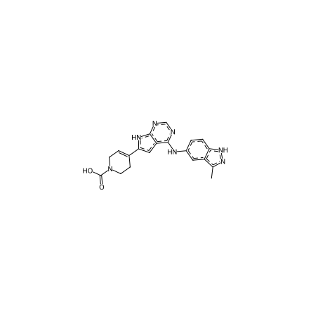 Cc1n[nH]c2ccc(Nc3ncnc4[nH]c(C5=CCN(C(=O)O)CC5)cc34)cc12